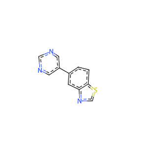 c1ncc(-c2ccc3scnc3c2)cn1